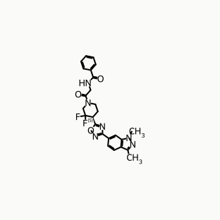 Cc1nn(C)c2cc(-c3noc([C@@H]4CCN(C(=O)CNC(=O)c5ccccc5)CC4(F)F)n3)ccc12